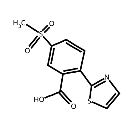 CS(=O)(=O)c1ccc(-c2nccs2)c(C(=O)O)c1